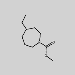 CCC1CCCN(C(=O)OC)CC1